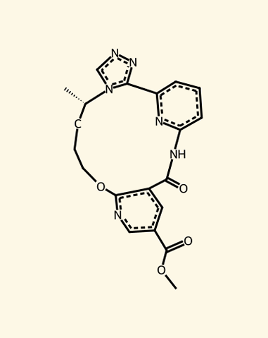 COC(=O)c1cnc2c(c1)C(=O)Nc1cccc(n1)-c1nncn1[C@@H](C)CCCO2